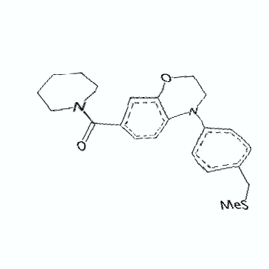 CSCc1ccc(N2CCOc3cc(C(=O)N4CCCCC4)ccc32)cc1